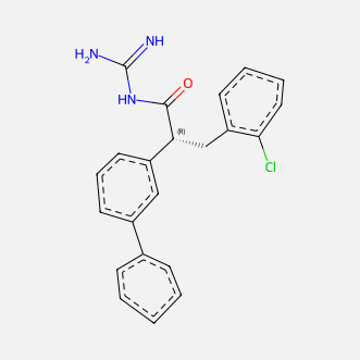 N=C(N)NC(=O)[C@H](Cc1ccccc1Cl)c1cccc(-c2ccccc2)c1